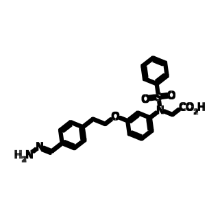 NN=Cc1ccc(CCOc2cccc(N(CC(=O)O)S(=O)(=O)c3ccccc3)c2)cc1